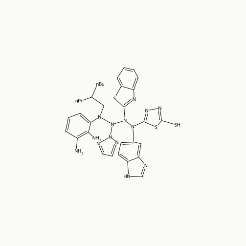 CCCCC(CCC)CN(c1cccc(N)c1N)N(N(c1nc2ccccc2s1)N(c1ccc2[nH]cnc2c1)c1nnc(S)s1)n1nccn1